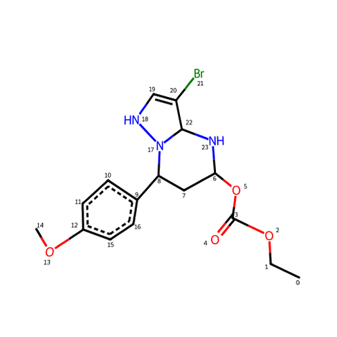 CCOC(=O)OC1CC(c2ccc(OC)cc2)N2NC=C(Br)C2N1